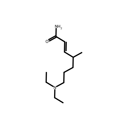 CCN(CC)CCCC(C)C=CC(N)=O